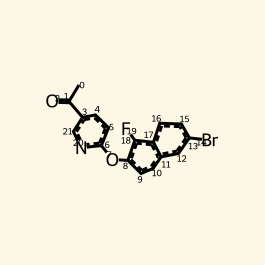 CC(=O)c1ccc(Oc2ccc3cc(Br)ccc3c2F)nc1